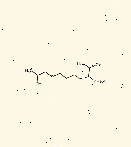 CCCCCCCC(OCCCSCC(C)O)C(C)O